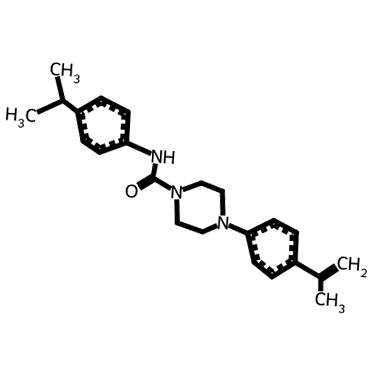 C=C(C)c1ccc(N2CCN(C(=O)Nc3ccc(C(C)C)cc3)CC2)cc1